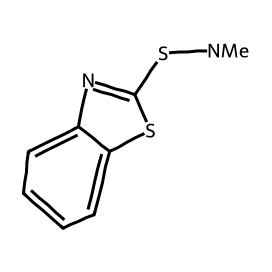 CNSc1nc2ccccc2s1